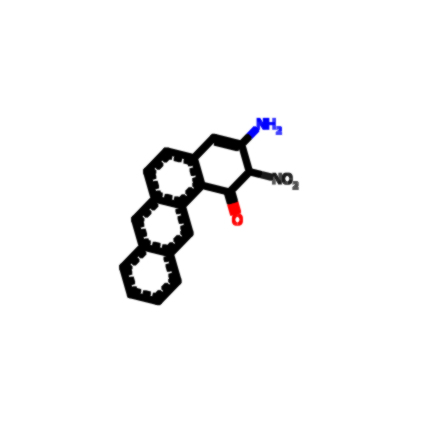 NC1=Cc2ccc3cc4ccccc4cc3c2C(=O)C1[N+](=O)[O-]